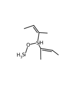 CC=C(C)[SiH](O[SiH3])C(C)=CC